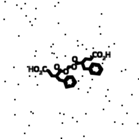 O=C(O)CCC(Cc1ccccc1)C(=O)OCOC(=O)C(CCC(=O)O)Cc1ccccc1